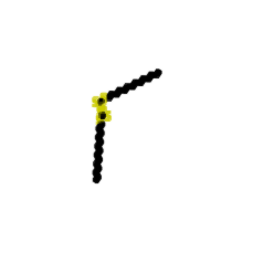 CCCCCCCCCCCCCCSC(=S)SSC(=S)SCCCCCCCCCCCCCC